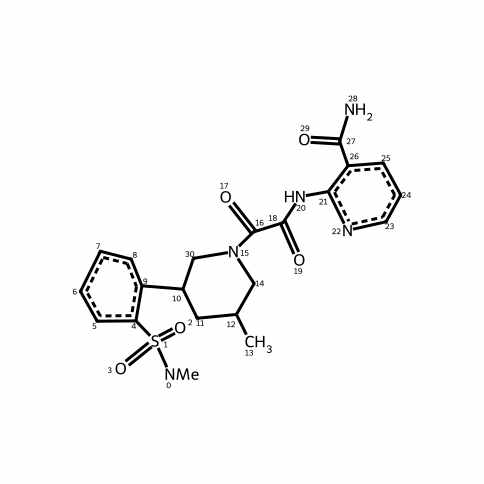 CNS(=O)(=O)c1ccccc1C1CC(C)CN(C(=O)C(=O)Nc2ncccc2C(N)=O)C1